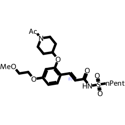 CCCCCS(=O)(=O)NC(=O)/C=C/c1ccc(OCCOC)cc1OC1CCN(C(C)=O)CC1